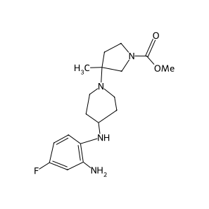 COC(=O)N1CCC(C)(N2CCC(Nc3ccc(F)cc3N)CC2)C1